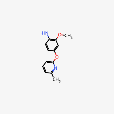 COc1cc(Oc2cccc(C)n2)ccc1[NH]